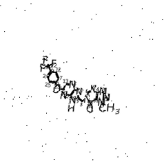 Cn1nnc2ncn(Cc3nc4ncc(Oc5ccc(C(F)(F)F)cc5)nc4[nH]3)c(=O)c21